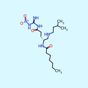 CCCCCCC(=O)N[C@H](CCC(=O)NC(=N)N[N+](=O)[O-])CNCCC(C)C